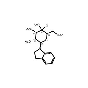 CC(=O)OC[C@H]1O[C@@H](N2CCc3ccccc32)[C@H](OC(C)=O)[C@@H](OC(C)=O)[C@@]1(Cl)OC(C)=O